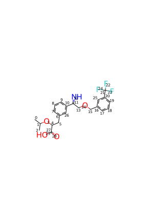 CC(C)OC(Cc1cccc(C(=N)COCc2cccc(C(F)(F)F)c2)c1)C(=O)O